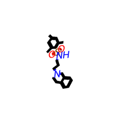 Cc1cc(C)c(S(=O)(=O)NCCCN2CCc3ccccc3C2)c(C)c1